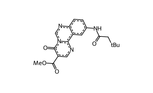 COC(=O)c1cnc2c3cc(NC(=O)CC(C)(C)C)ccc3ncn2c1=O